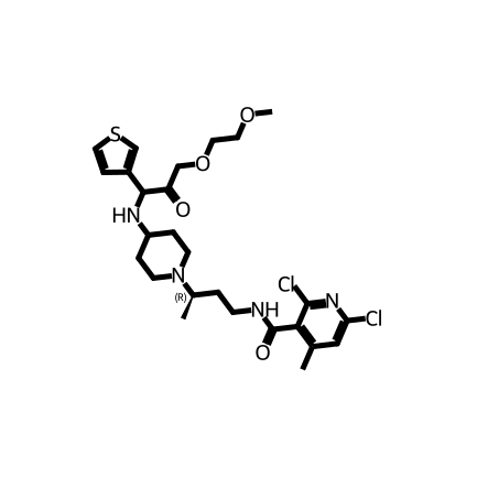 COCCOCC(=O)C(NC1CCN([C@H](C)CCNC(=O)c2c(C)cc(Cl)nc2Cl)CC1)c1ccsc1